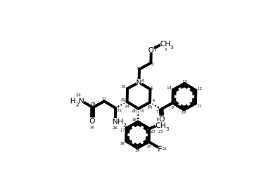 COCCN1C[C@H](C(=O)c2ccccc2)[C@H](c2cccc(F)c2C)[C@H](C(N)CC(N)=O)C1